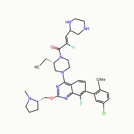 COc1ccc(Cl)cc1-c1ccc2c(N3CCN(C(=O)/C(F)=C/C4CNCCN4)[C@@H](CC#N)C3)nc(OC[C@@H]3CCCN3C)nc2c1F